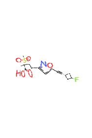 CC(CCc1cc(C#CC2CC(F)C2)on1)(C(=O)O)S(C)(=O)=O